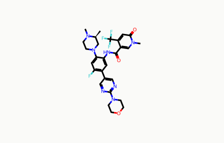 C[C@H]1CN(c2cc(F)c(-c3cnc(N4CCOCC4)nc3)cc2NC(=O)c2cn(C)c(=O)cc2C(F)(F)F)CCN1C